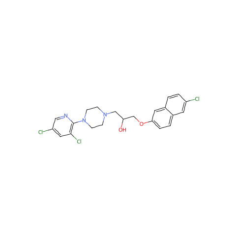 OC(COc1ccc2cc(Cl)ccc2c1)CN1CCN(c2ncc(Cl)cc2Cl)CC1